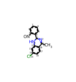 CC1=NC(c2ccccc2N=O)Nc2cc(Cl)ccc21